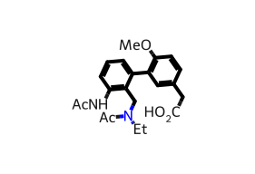 CCN(Cc1c(NC(C)=O)cccc1-c1cc(CC(=O)O)ccc1OC)C(C)=O